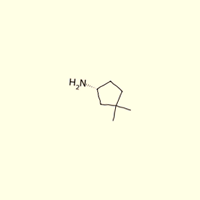 CC1(C)CC[C@@H](N)C1